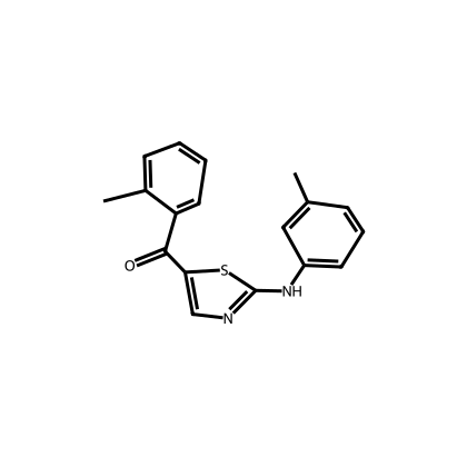 Cc1cccc(Nc2ncc(C(=O)c3ccccc3C)s2)c1